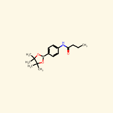 CCCC(=O)Nc1ccc(B2OC(C)(C)C(C)(C)O2)cc1